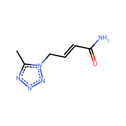 Cc1nnnn1C/C=C/C(N)=O